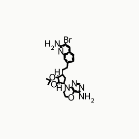 CC1(C)O[C@@H]2[C@@H](CCc3ccc4cc(Br)c(N)nc4c3)C[C@@H](N3CCOc4c(N)ncnc43)[C@@H]2O1